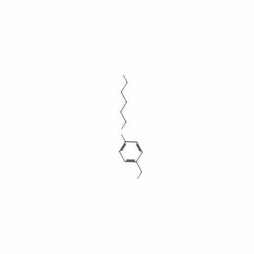 CCCCCCCCCCCCCNc1ccc(CO)cc1